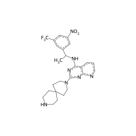 CC(Nc1nc(N2CCC3(CCNCC3)CC2)nc2ncccc12)c1cc([N+](=O)[O-])cc(C(F)(F)F)c1